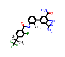 Cc1c(NC(=O)c2ccc(C(C)(C)C(F)(F)F)cc2F)cccc1-c1cc(C(N)=O)c2[nH]nc(N)c2c1